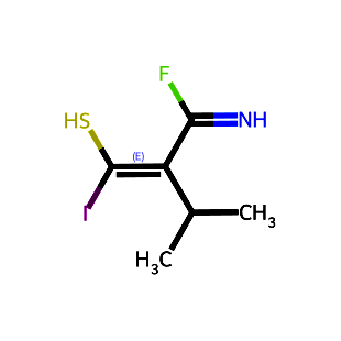 CC(C)/C(C(=N)F)=C(/S)I